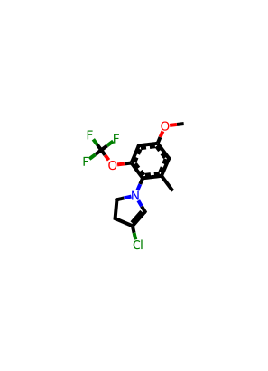 COc1cc(C)c(N2C=C(Cl)CC2)c(OC(F)(F)F)c1